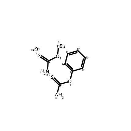 CCCCOC(N)=S.NC(=S)Oc1ccccc1.[Zn]